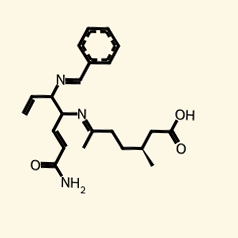 C=CC(/N=C/c1ccccc1)C(/C=C/C(N)=O)/N=C(\C)CC[C@H](C)CC(=O)O